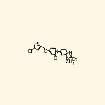 CCc1nc2ccc(-n3ccc(OCc4cc(Cl)cs4)cc3=O)cc2n1C